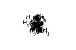 CC(C)(C)c1ccc(N2B3c4cc5oc6ccccc6c5cc4-n4c5cc6c(cc5c5c7sc8ccccc8c7c(c3c54)-c3cc4sc5cc7c(cc5c4cc32)C(C)(C)CCC7(C)C)C(C)(C)CCC6(C)C)cc1